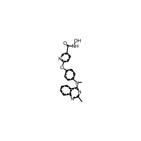 Cc1nc(N(C)c2ccc(Oc3ccc(C(=O)NO)cn3)cc2)c2ccccc2n1